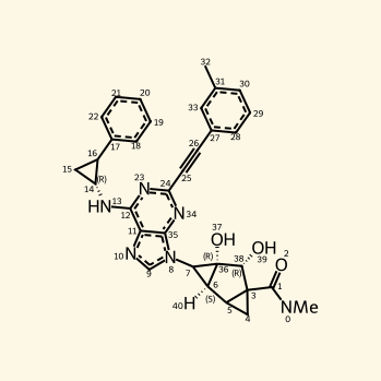 CNC(=O)C12CC1[C@H]1C(n3cnc4c(N[C@@H]5CC5c5ccccc5)nc(C#Cc5cccc(C)c5)nc43)[C@@]1(O)[C@@H]2O